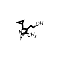 Cc1c(CCO)c(C2CC2)nn1I